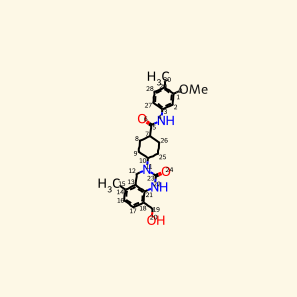 COc1cc(NC(=O)C2CCC(N3Cc4c(C)ccc(CO)c4NC3=O)CC2)ccc1C